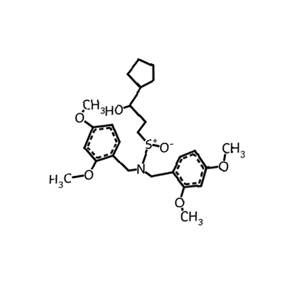 COc1ccc(CN(Cc2ccc(OC)cc2OC)[S+]([O-])CCC(O)C2CCCC2)c(OC)c1